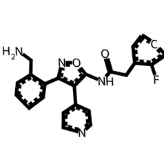 NCc1ccccc1-c1noc(NC(=O)Cc2ccccc2F)c1-c1ccncc1